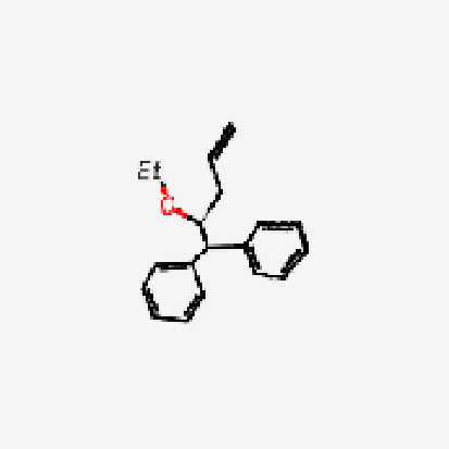 C=CC[C@H](OCC)C(c1ccccc1)c1ccccc1